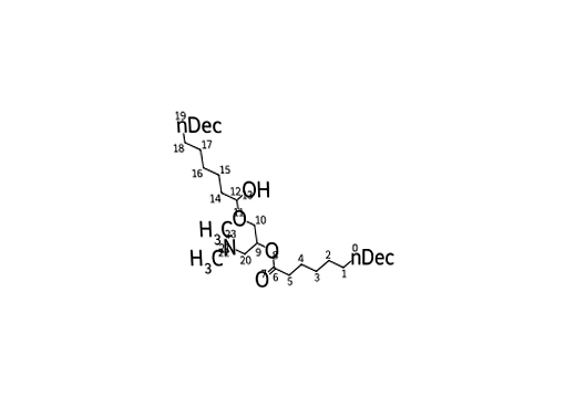 CCCCCCCCCCCCCCCC(=O)OC(COC(O)CCCCCCCCCCCCCCC)CN(C)C